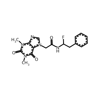 Cn1c(=O)c2c(ncn2CC(=O)NC(F)Cc2ccccc2)n(C)c1=O